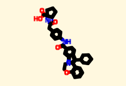 O=C(Cc1ccc(NC(=O)c2ccc3c(C4CCCCC4)c4n(c3c2)CCOc2ccccc2-4)cc1)NC1(C(=O)O)CCCC1